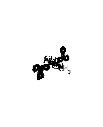 C/N=C1\OC2=C(c3ccc4c(c3)c3ccccc3n4-c3ccccc3)/C(=N/C)OC2=C1c1ccc2c(c1)c1ccccc1n2-c1ccccc1